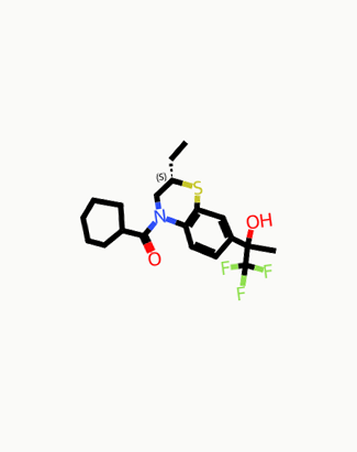 CC[C@H]1CN(C(=O)C2CCCCC2)c2ccc(C(C)(O)C(F)(F)F)cc2S1